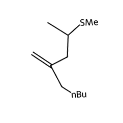 C=C(CCCCC)CC(C)SC